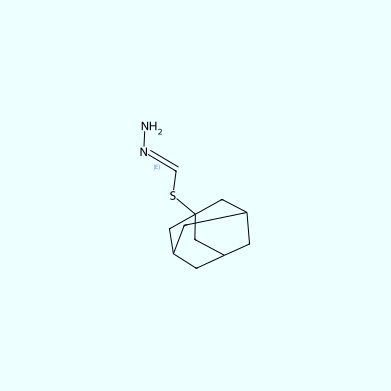 N/N=C/SC12CC3CC(CC(C3)C1)C2